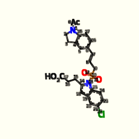 CC(=O)N1CCc2cc(C=CCS(=O)(=O)n3c(CCC(=O)O)cc4cc(Cl)ccc43)ccc21